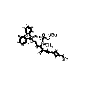 CC(C)CC1CC(C#CC(=O)C(CCO[Si](c2ccccc2)(c2ccccc2)C(C)(C)C)N(C)CC(=O)OC(C)(C)C)C1